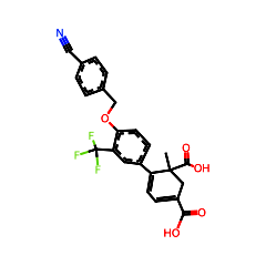 CC1(C(=O)O)CC(C(=O)O)=CC=C1c1ccc(OCc2ccc(C#N)cc2)c(C(F)(F)F)c1